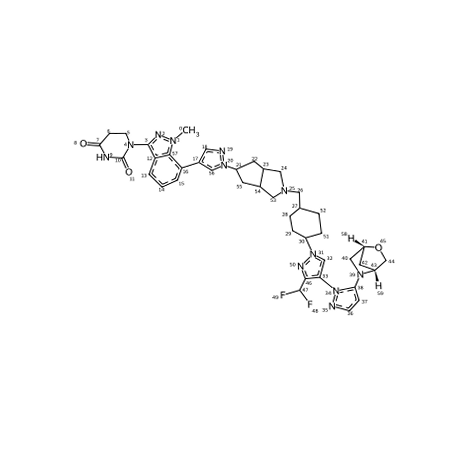 Cn1nc(N2CCC(=O)NC2=O)c2cccc(-c3cnn(C4CC5CN(CC6CCC(n7cc(-n8nccc8N8C[C@H]9C[C@@H]8CO9)c(C(F)F)n7)CC6)CC5C4)c3)c21